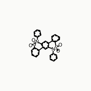 O=S1(=O)c2ccccc2-c2cc3c(cc2N1c1ccccc1)-c1ccccc1S(=O)(=O)N3c1ccccc1